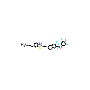 C=CCCc1ccc2nc(C#Cc3ccc4c(F)c(C(F)(F)Oc5cc(F)c(F)c(F)c5)c(F)cc4c3)sc2c1